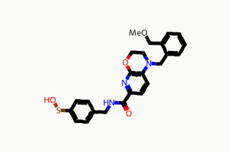 COCc1ccccc1CN1CCOc2nc(C(=O)NCc3ccc(SO)cc3)ccc21